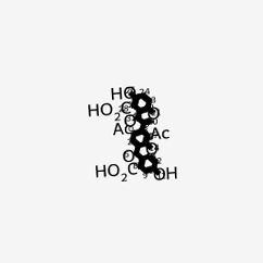 CC(=O)c1cc2c(=O)c3c(C(=O)O)cc(O)cc3oc2c(C(C)=O)c1-c1coc2ccc(O)c(C(=O)O)c2c1=O